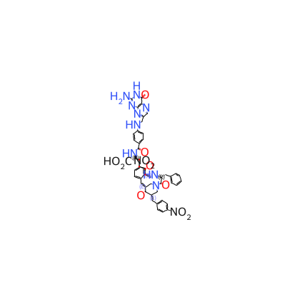 Nc1nc2nc(CNc3ccc(C(=O)N[C@H](CCC(=O)/C=C\N[C@H](Cc4ccccc4)C(=O)N4C/C(=C\c5ccc([N+](=O)[O-])cc5)C(=O)/C(=C/c5ccc([N+](=O)[O-])cc5)C4)C(=O)O)cc3)cnc2c(=O)[nH]1